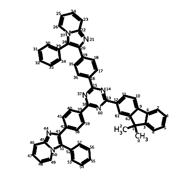 CC1(C)c2ccccc2-c2ccc(-c3nc(-c4ccc(-c5nc6ccccn6c5-c5ccccc5)cc4)nc(-c4ccc(-c5nc6ccccn6c5-c5ccccc5)cc4)n3)cc21